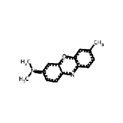 Cc1ccc2nc3ccc(=[N+](C)C)cc-3oc2c1